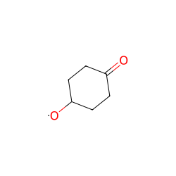 [O]C1CCC(=O)CC1